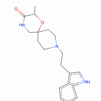 CC1OC2(CCN(CCc3c[nH]c4ccccc34)CC2)CNC1=O